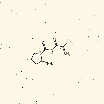 C=C(C)C(=O)NC(=O)[C@@H]1CCCN1N